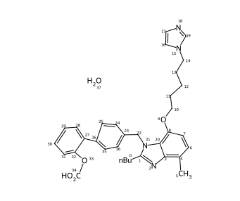 CCCCc1nc2c(C)ccc(OCCCCCn3ccnc3)c2n1Cc1ccc(-c2ccccc2OC(=O)O)cc1.O